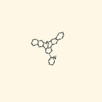 c1ccc(-c2cc3c4cc5ccccc5cc4n4c5cc6ccccc6cc5c(c2)c34)nc1